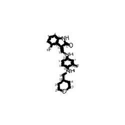 O=C1Nc2cccc(F)c2C1=CNc1ccc(NCC2CCOCC2)c(F)c1